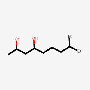 CCC(CC)CCCC(O)CC(C)O